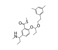 CCC(OCCc1cc(C)cc(C)c1)Oc1ccc(C(CC)NC)cc1C(=O)SC